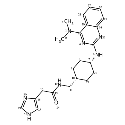 CN(C)c1nc(N[C@H]2CC[C@@H](CNC(=O)Cc3c[nH]cn3)CC2)nc2ccccc12